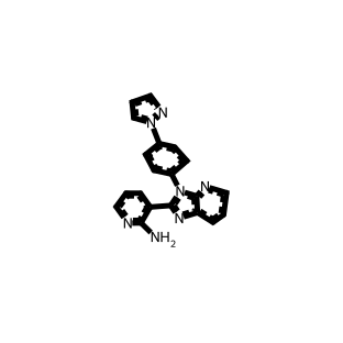 Nc1ncccc1-c1nc2cccnc2n1-c1ccc(-n2cccn2)cc1